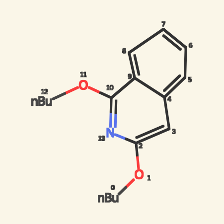 CCCCOc1cc2ccccc2c(OCCCC)n1